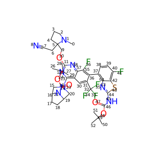 CN1CCCC1(CC#N)COc1nc(N2CC3CCC(C2)N3C(=O)OC(C)(C)C)c2cc(C(F)(F)F)c(-c3ccc(F)c4sc(NC(=O)OC(C)(C)C)nc34)c(F)c2n1